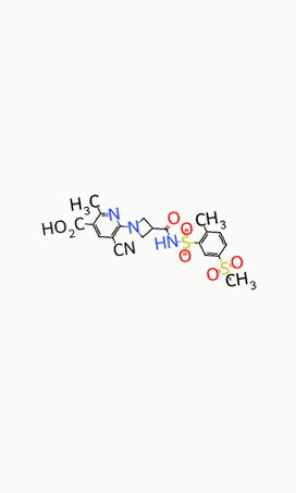 Cc1ccc(S(C)(=O)=O)cc1S(=O)(=O)NC(=O)C1CN(c2nc(C)c(C(=O)O)cc2C#N)C1